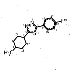 CC1CCC(c2nnc(-c3ccc(F)cc3)s2)CC1